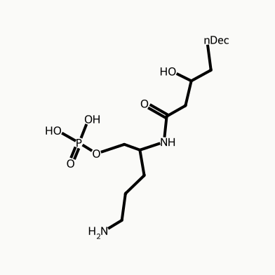 CCCCCCCCCCCC(O)CC(=O)NC(CCCN)COP(=O)(O)O